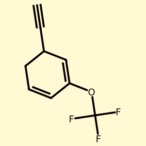 C#CC1C=C(OC(F)(F)F)C=CC1